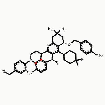 COc1ccc(CO[C@H]2CC(C)(C)Cc3nc(C4CCN(c5ncc(CO)cn5)CC4)c([C@@H](F)c4ccc(C)cc4)c(C4CCC(F)(F)CC4)c32)cc1